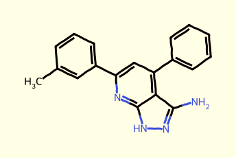 Cc1cccc(-c2cc(-c3ccccc3)c3c(N)n[nH]c3n2)c1